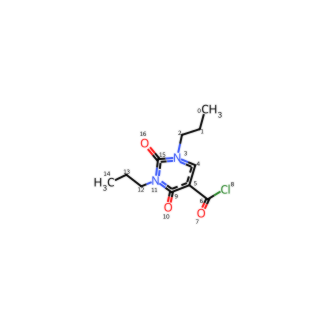 CCCn1cc(C(=O)Cl)c(=O)n(CCC)c1=O